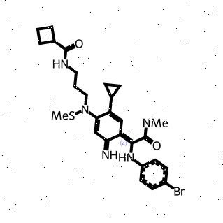 CNC(=O)/C(Nc1ccc(Br)cc1)=C1\C=C(C2CC2)C(N(CCCNC(=O)C2CCC2)SC)=CC1=N